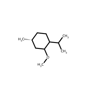 [CH2]OC1C[C@H](C)CCC1C(C)C